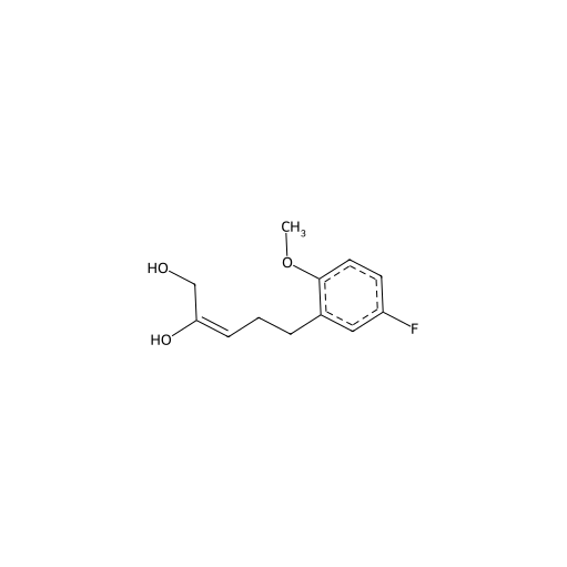 COc1ccc(F)cc1CC/C=C(/O)CO